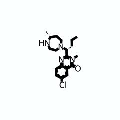 CCC[C@H](c1nc2ccc(Cl)cc2c(=O)n1C)N1CCN[C@H](C)CC1